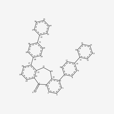 O=C1c2cccc(-c3ccc(-c4ccccc4)cc3)c2CCc2c1cccc2-c1ccc(-c2ccccc2)cc1